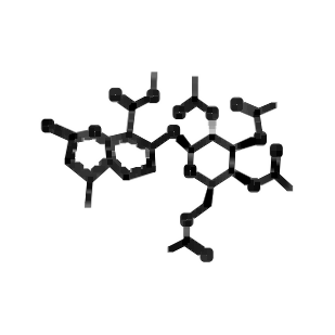 COC(=O)c1c(O[C@@H]2O[C@H](COC(C)=O)[C@H](OC(C)=O)[C@H](OC(C)=O)[C@H]2OC(C)=O)ccc2c(C)cc(=O)oc12